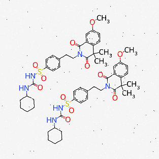 COc1ccc2c(c1)C(=O)N(CCc1ccc(S(=O)(=O)NC(=O)NC3CCCCC3)cc1)C(=O)C2(C)C.COc1ccc2c(c1)C(=O)N(CCc1ccc(S(=O)(=O)NC(=O)NC3CCCCC3)cc1)C(=O)C2(C)C